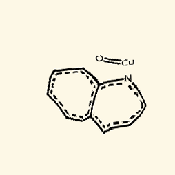 [O]=[Cu].c1ccc2ncccc2c1